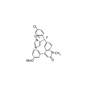 COc1cccc(-c2cc(=O)n(C)c3ccc([C@](F)(c4ccc(Cl)cc4)c4cncn4C)cc23)c1